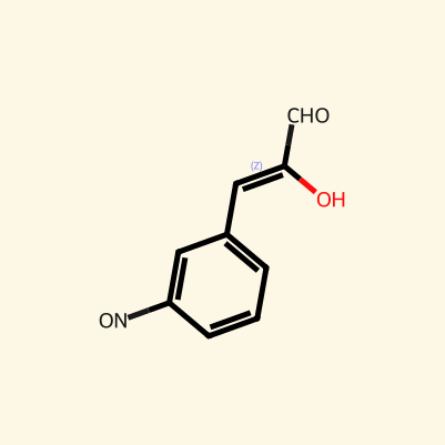 O=C/C(O)=C/c1cccc(N=O)c1